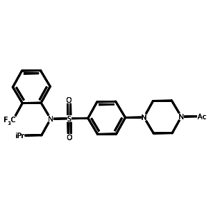 CC(=O)N1CCN(c2ccc(S(=O)(=O)N(CC(C)C)c3ccccc3C(F)(F)F)cc2)CC1